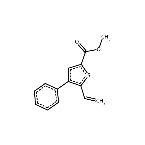 C=Cc1sc(C(=O)OC)cc1-c1ccccc1